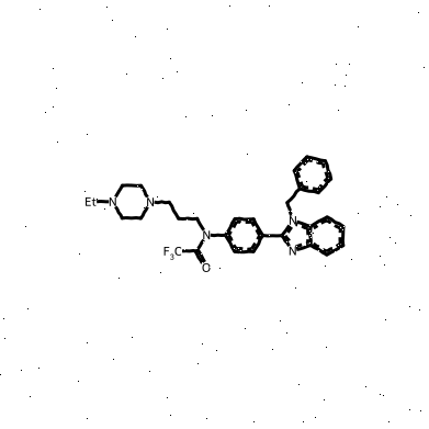 CCN1CCN(CCCN(C(=O)C(F)(F)F)c2ccc(-c3nc4ccccc4n3Cc3ccccc3)cc2)CC1